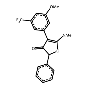 CNC1=C(c2cc(OC)cc(C(F)(F)F)c2)C(=O)C(c2ccccc2)O1